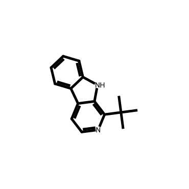 CC(C)(C)c1nccc2c1[nH]c1ccccc12